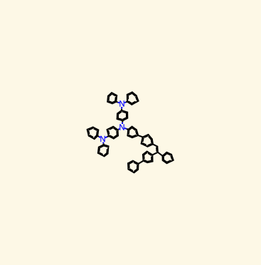 C(=C(c1ccccc1)c1ccc(-c2ccccc2)cc1)c1ccc(-c2ccc(N(c3ccc(N(c4ccccc4)c4ccccc4)cc3)c3ccc(N(c4ccccc4)c4ccccc4)cc3)cc2)cc1